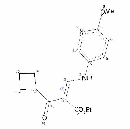 CCOC(=O)/C(=C\Nc1ccc(OC)nc1)C(=O)C1CCC1